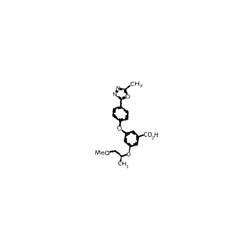 COC[C@H](C)Oc1cc(Oc2ccc(-c3nnc(C)o3)cc2)cc(C(=O)O)c1